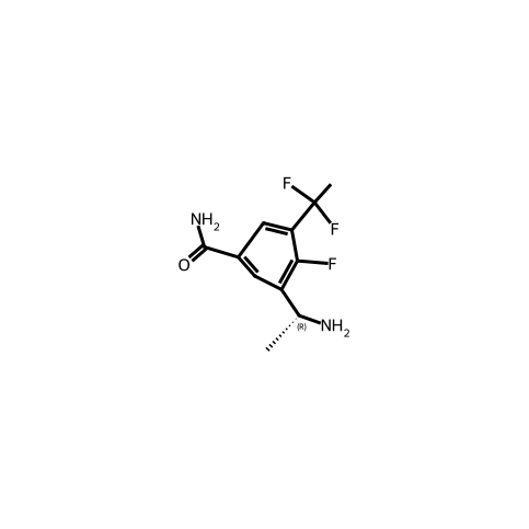 C[C@@H](N)c1cc(C(N)=O)cc(C(C)(F)F)c1F